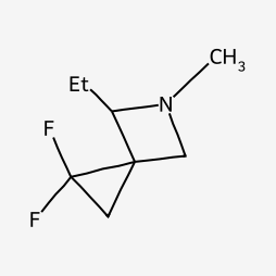 CCC1N(C)CC12CC2(F)F